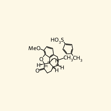 COc1ccc2c3c1O[C@H]1C(=O)CC[C@H]4[C@@H](C2)N(C)CC[C@]314.Cc1ccc(S(=O)(=O)O)cc1